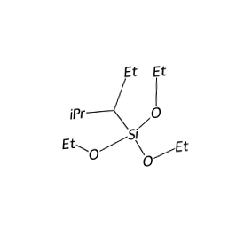 CCO[Si](OCC)(OCC)C(CC)C(C)C